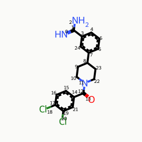 N=C(N)c1cccc(C2CCN(C(=O)c3ccc(Cl)c(Cl)c3)CC2)c1